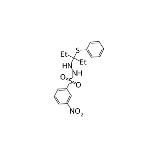 CCC(CC)(NNS(=O)(=O)c1cccc([N+](=O)[O-])c1)Sc1ccccc1